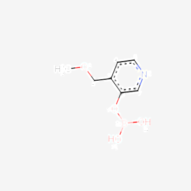 COCc1ccncc1OB(O)O